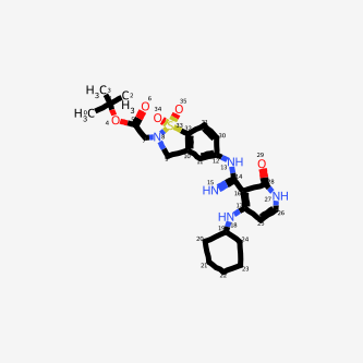 CC(C)(C)OC(=O)CN1Cc2cc(NC(=N)c3c(NC4CCCCC4)cc[nH]c3=O)ccc2S1(=O)=O